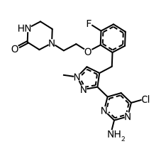 Cn1cc(Cc2cccc(F)c2OCCN2CCNC(=O)C2)c(-c2cc(Cl)nc(N)n2)n1